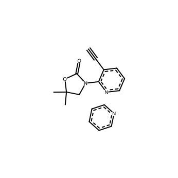 C#Cc1cccnc1N1CC(C)(C)OC1=O.c1ccncc1